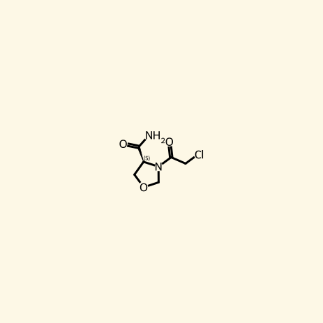 NC(=O)[C@@H]1COCN1C(=O)CCl